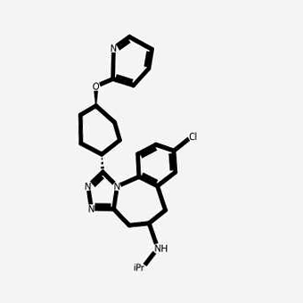 CC(C)NC1Cc2cc(Cl)ccc2-n2c(nnc2[C@H]2CC[C@H](Oc3ccccn3)CC2)C1